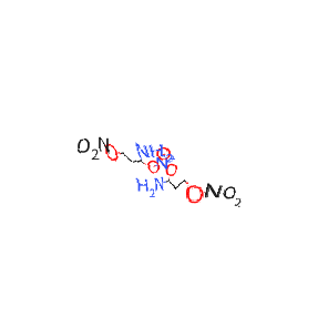 NC(CCO[N+](=O)[O-])O[N+](=O)OC(N)CCO[N+](=O)[O-]